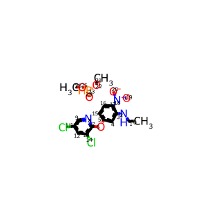 CCNc1cc(Oc2ncc(Cl)cc2Cl)ccc1[N+](=O)[O-].CO[PH](=O)OC